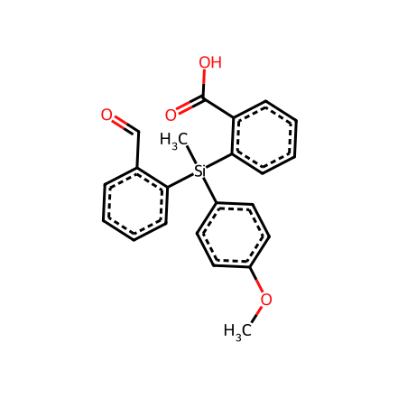 COc1ccc([Si](C)(c2ccccc2C=O)c2ccccc2C(=O)O)cc1